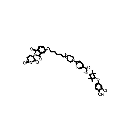 CC1(C)[C@H](NC(=O)c2ccc(N3CC[N+](C)(CCCCCOc4ccc5c(c4)C(=O)N(C4CCC(=O)NC4=O)C5=O)CC3)nc2)C(C)(C)[C@H]1Oc1ccc(C#N)c(Cl)c1